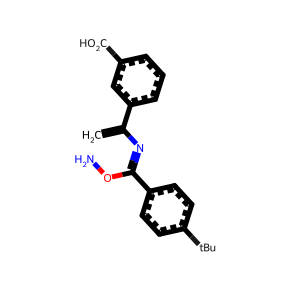 C=C(/N=C(\ON)c1ccc(C(C)(C)C)cc1)c1cccc(C(=O)O)c1